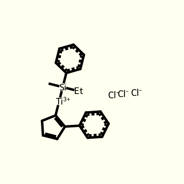 CC[Si](C)([Ti+3][C]1=C(c2ccccc2)C=CC1)c1ccccc1.[Cl-].[Cl-].[Cl-]